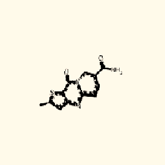 Cc1cc2nc3ccc(C(N)=O)cn3c(=O)c2s1